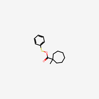 CC1(C(=O)OSc2ccccc2)CCCCCC1